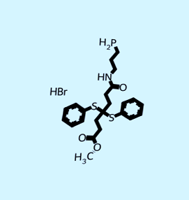 Br.COC(=O)CCC(CCC(=O)NCCCP)(Sc1ccccc1)Sc1ccccc1